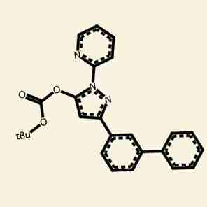 CC(C)(C)OC(=O)Oc1cc(-c2cccc(-c3ccccc3)c2)nn1-c1ccccn1